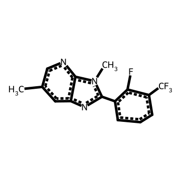 Cc1cnc2c(c1)nc(-c1cccc(C(F)(F)F)c1F)n2C